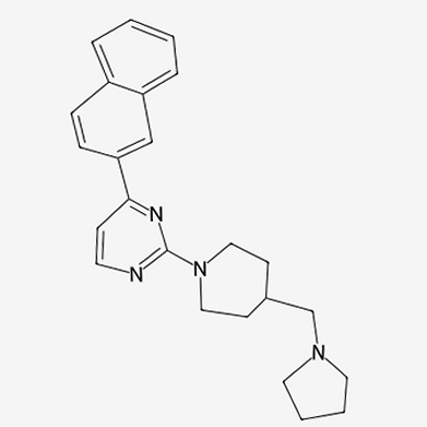 c1ccc2cc(-c3ccnc(N4CCC(CN5CCCC5)CC4)n3)ccc2c1